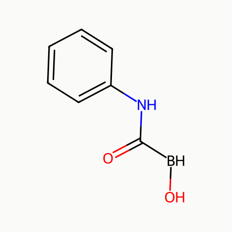 O=C(BO)Nc1ccccc1